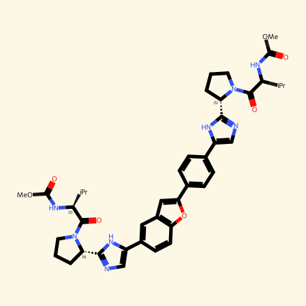 COC(=O)NC(C(=O)N1CCC[C@H]1c1ncc(-c2ccc(-c3cc4cc(-c5cnc([C@@H]6CCCN6C(=O)[C@@H](NC(=O)OC)C(C)C)[nH]5)ccc4o3)cc2)[nH]1)C(C)C